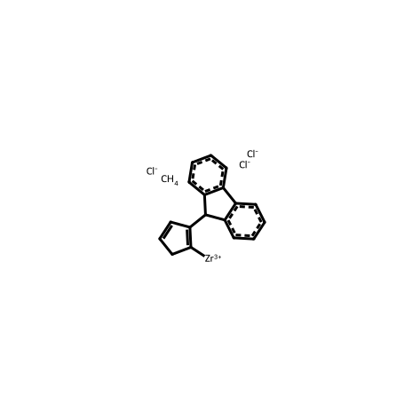 C.[Cl-].[Cl-].[Cl-].[Zr+3][C]1=C(C2c3ccccc3-c3ccccc32)C=CC1